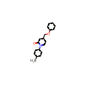 Bc1ccc(-n2ccc(COc3ccccc3)cc2=O)cc1